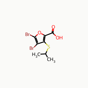 CC(C)Sc1c(C(=O)O)oc(Br)c1Br